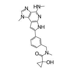 CNc1nc2[nH]c(-c3cccc(CN(C)C(=O)C4(O)CC4)c3)cc2c2c1ncn2C